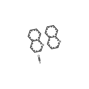 O=S.c1ccc2ncccc2c1.c1ccc2ncccc2c1